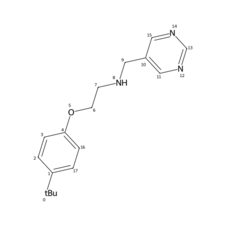 CC(C)(C)c1ccc(OCCNCc2cncnc2)cc1